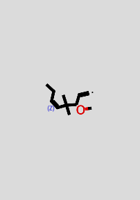 [CH]=CC(OC)C(C)(C)/C=C\CC